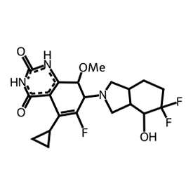 COC1c2[nH]c(=O)[nH]c(=O)c2C(C2CC2)=C(F)C1N1CC2CCC(F)(F)C(O)C2C1